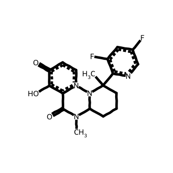 CN1C(=O)c2c(O)c(=O)ccn2N2C1CCCC2(C)c1ncc(F)cc1F